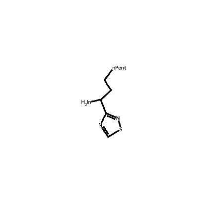 CCCCCCC[CH]([InH2])c1ncsn1